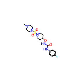 CN1CCN(S(=O)(=O)N2CCC(ONC(=O)Nc3ccc(F)cc3)CC2)CC1